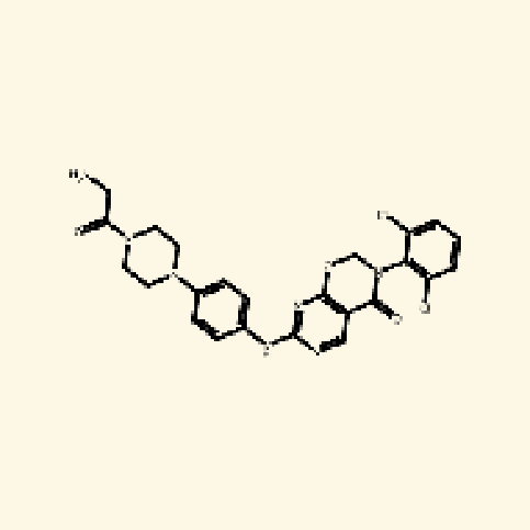 NCC(=O)N1CCN(c2ccc(Nc3ncc4c(n3)OCN(c3c(Cl)cccc3Cl)C4=O)cc2)CC1